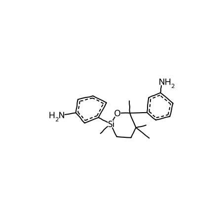 CC1(C)CC[Si](C)(c2cccc(N)c2)OC1(C)c1cccc(N)c1